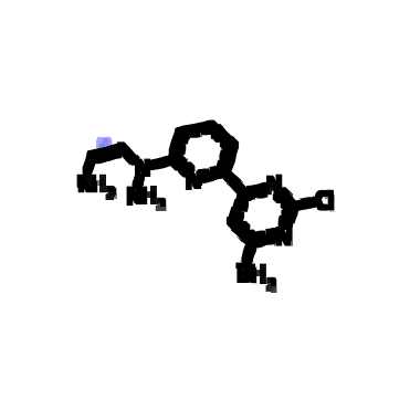 Bc1cc(-c2cccc(N(N)/C=C\N)n2)nc(Cl)n1